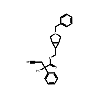 C#CCC(O)(C(=O)OCC1C2CN(Cc3ccccc3)CC12)c1ccccc1